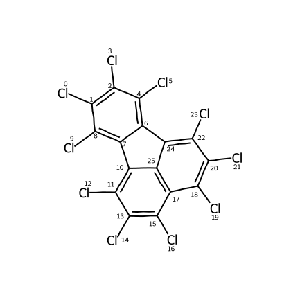 Clc1c(Cl)c(Cl)c2c(c1Cl)-c1c(Cl)c(Cl)c(Cl)c3c(Cl)c(Cl)c(Cl)c-2c13